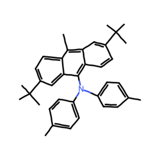 Cc1ccc(N(c2ccc(C)cc2)c2c3ccc(C(C)(C)C)cc3c(C)c3ccc(C(C)(C)C)cc23)cc1